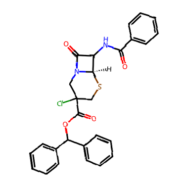 O=C(NC1C(=O)N2CC(Cl)(C(=O)OC(c3ccccc3)c3ccccc3)CS[C@H]12)c1ccccc1